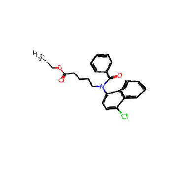 CCOC(=O)CCCCN(C(=O)c1ccccc1)c1ccc(Cl)c2ccccc12